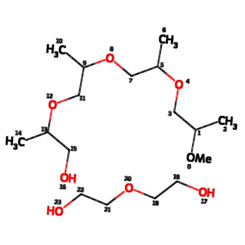 COC(C)COC(C)COC(C)COC(C)CO.OCCOCCO